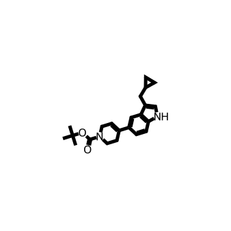 CC(C)(C)OC(=O)N1CC=C(c2ccc3[nH]cc(CC4CC4)c3c2)CC1